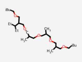 CCC(C)COCC(C)COCC(C)COCC(C)COCC(COCC(C)CC)C(CC)CC